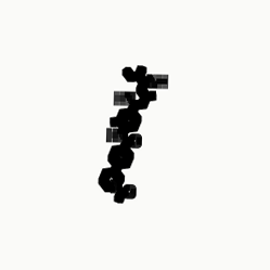 CCC(C)C(=N)CC(C)CC(=N)c1ccc(NC(=O)c2ccc(C3CCCN(C(C)=O)C3)cc2)c(C)c1